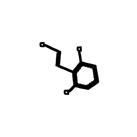 Cl/C=C/c1c(Cl)cccc1Cl